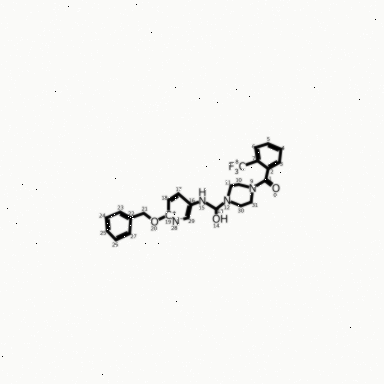 O=C(c1ccccc1C(F)(F)F)N1CCN(C(O)Nc2cc[c+](OCc3ccccc3)[n-]c2)CC1